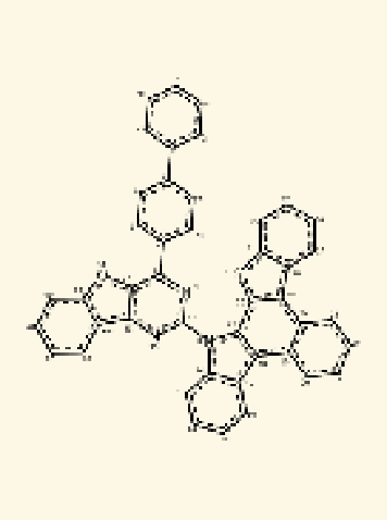 c1ccc(-c2ccc(-c3nc(-n4c5ccccc5c5c6ccccc6c6c7ccccc7sc6c54)nc4c3oc3ccccc34)cc2)cc1